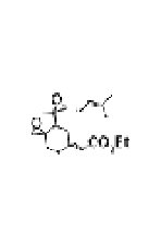 CCOC(=O)/C=C1/CCC2(CO2)C(C2(C)O[C@@H]2CC=C(C)C)C1